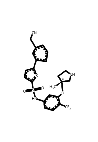 C[C@@]1(Oc2cc(NS(=O)(=O)c3ccc(-c4cccc(CC#N)c4)s3)ccc2C(F)(F)F)CCNC1